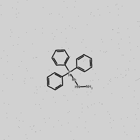 N[NH][Rh][PH](c1ccccc1)(c1ccccc1)c1ccccc1